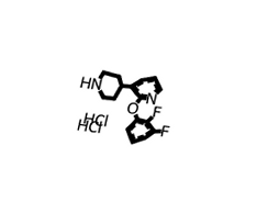 Cl.Cl.Fc1cccc(Oc2ncccc2C2CCNCC2)c1F